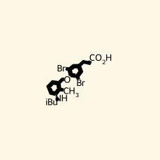 CCC(C)Nc1cccc(COc2c(Br)cc(CCC(=O)O)cc2Br)c1C